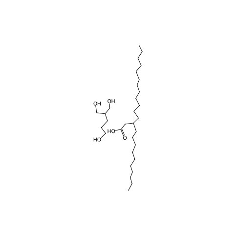 CCCCCCCCCCCCC(CCCCCCCCCC)CC(=O)O.OCCCC(CO)CO